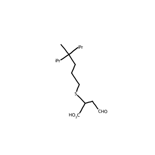 CC(C)C(C)(CCCSC(CC=O)C(=O)O)C(C)C